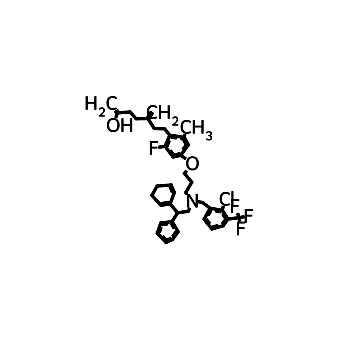 C=C(O)CCC(=C)CCc1c(C)cc(OCCCN(Cc2cccc(C(F)(F)F)c2Cl)CC(C2=CCCC=C2)c2ccccc2)cc1F